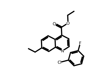 CCOC(=O)c1ccnc2cc(CC)ccc12.Fc1cccc(Cl)c1